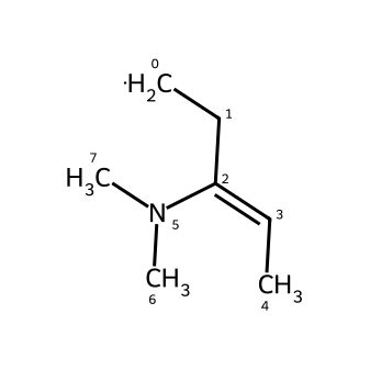 [CH2]CC(=CC)N(C)C